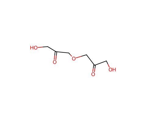 O=C(CO)COCC(=O)CO